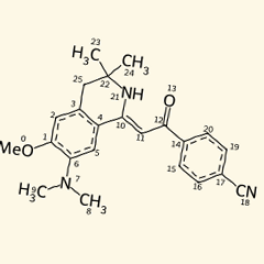 COc1cc2c(cc1N(C)C)C(=CC(=O)c1ccc(C#N)cc1)NC(C)(C)C2